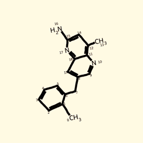 Cc1ccccc1Cc1cnc2c(C)cc(N)nc2c1